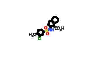 Cc1ccc(S(=O)(=O)Nc2ccc3c(c2C(=O)O)CCCC3)cc1Cl